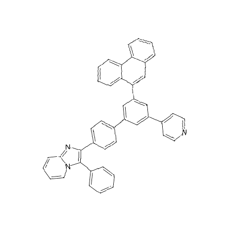 c1ccc(-c2c(-c3ccc(-c4cc(-c5ccncc5)cc(-c5cc6ccccc6c6ccccc56)c4)cc3)nc3ccccn23)cc1